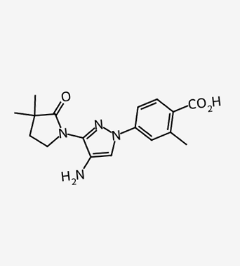 Cc1cc(-n2cc(N)c(N3CCC(C)(C)C3=O)n2)ccc1C(=O)O